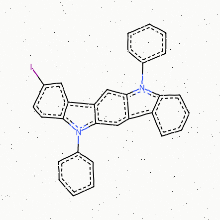 Ic1ccc2c(c1)c1cc3c(cc1n2-c1ccccc1)c1ccccc1n3-c1ccccc1